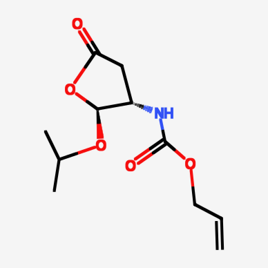 C=CCOC(=O)N[C@H]1CC(=O)O[C@@H]1OC(C)C